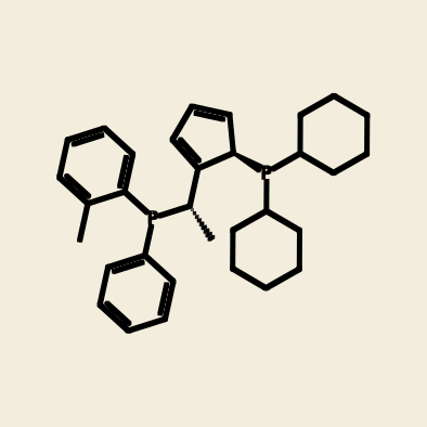 Cc1ccccc1P(c1ccccc1)[C@@H](C)C1=CC=C[C@H]1P(C1CCCCC1)C1CCCCC1